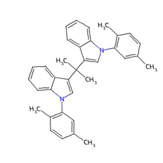 Cc1ccc(C)c(-n2cc(C(C)(C)c3cn(-c4cc(C)ccc4C)c4ccccc34)c3ccccc32)c1